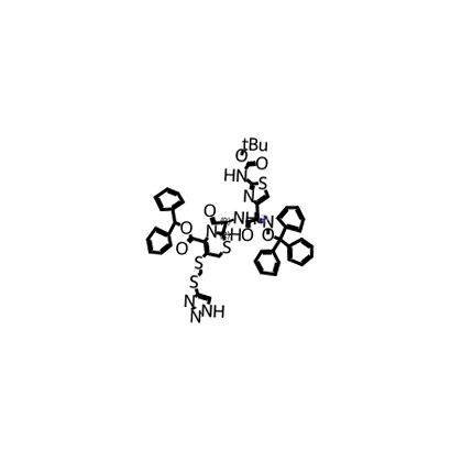 CC(C)(C)OC(=O)Nc1nc(/C(=N/OC(c2ccccc2)(c2ccccc2)c2ccccc2)C(=O)N[C@@H]2C(=O)N3C(C(=O)OC(c4ccccc4)c4ccccc4)=C(SCSc4c[nH]nn4)CS[C@H]23)cs1